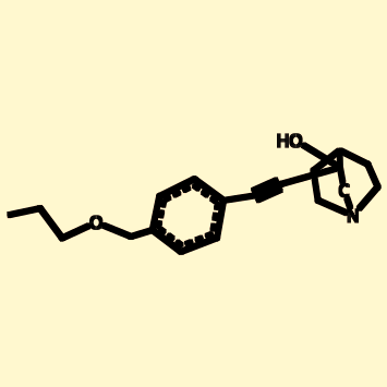 CCCOCc1ccc(C#CC2(O)CN3CCC2CC3)cc1